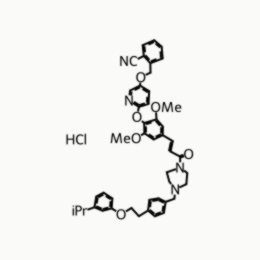 COc1cc(/C=C/C(=O)N2CCN(Cc3ccc(CCOc4cccc(C(C)C)c4)cc3)CC2)cc(OC)c1Oc1ccc(OCc2ccccc2C#N)cn1.Cl